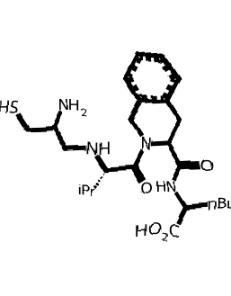 CCCCC(NC(=O)C1Cc2ccccc2CN1C(=O)[C@@H](NCC(N)CS)C(C)C)C(=O)O